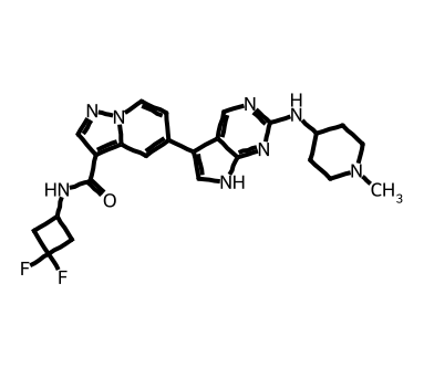 CN1CCC(Nc2ncc3c(-c4ccn5ncc(C(=O)NC6CC(F)(F)C6)c5c4)c[nH]c3n2)CC1